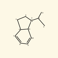 CC(C)N1CCC2C=CC=CC21